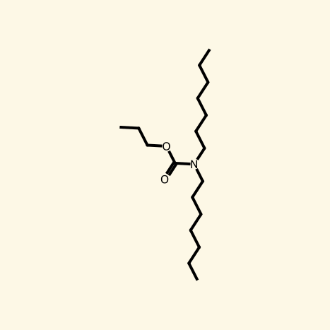 CCCCCCCN(CCCCCCC)C(=O)OCCC